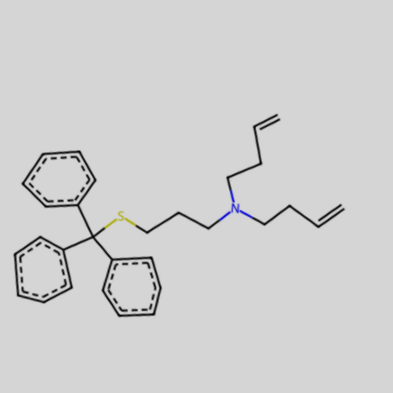 C=CCCN(CCC=C)CCCSC(c1ccccc1)(c1ccccc1)c1ccccc1